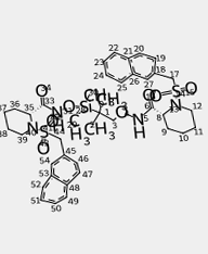 CC(C)(CONC(=O)[C@H]1CCCCN1S(=O)(=O)Cc1ccc2ccccc2c1)[Si](C)(C)ONC(=O)[C@H]1CCCCN1S(=O)(=O)Cc1ccc2ccccc2c1